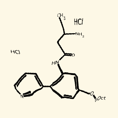 CCCCCCCCOc1ccc(-c2cccnc2)c(NC(=O)CC(C)N)c1.Cl.Cl